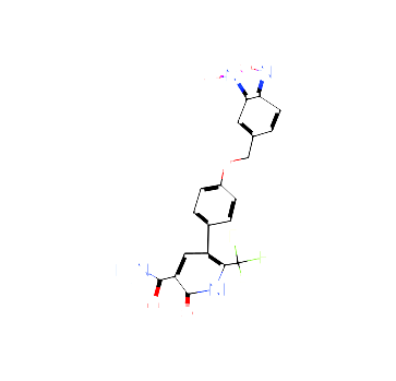 NC(=O)c1cc(-c2ccc(OCc3ccc4no[n+]([O-])c4c3)cc2)c(C(F)(F)F)[nH]c1=O